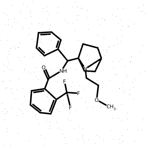 COCCN1C2CCC1(C(NC(=O)c1ccccc1C(F)(F)F)c1ccccc1)CC2